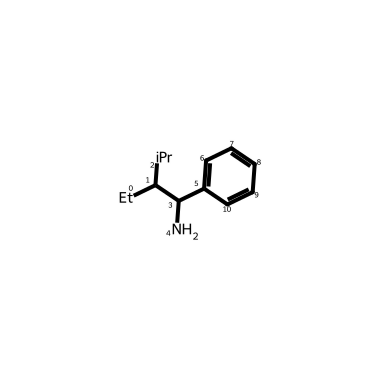 CCC(C(C)C)C(N)c1ccccc1